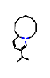 CC(C)C1=CN2CCCCCCCCC2C=C1